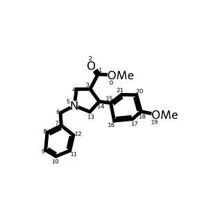 COC(=O)C1CN(Cc2ccccc2)CC1c1ccc(OC)cc1